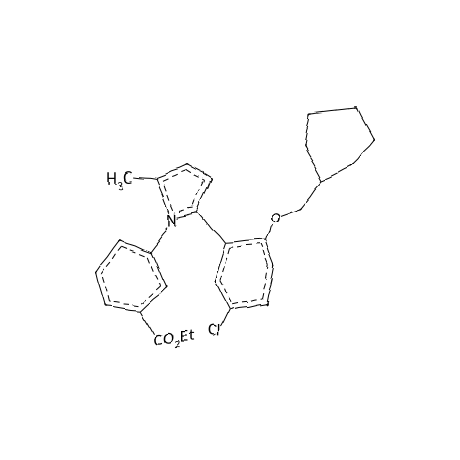 CCOC(=O)c1cccc(-n2c(C)ccc2-c2cc(Cl)ccc2OCC2CCCCC2)c1